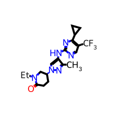 CCN1C[C@@H](n2cc(Nc3ncc(C(F)(F)F)c(C4CC4)n3)c(C)n2)CCC1=O